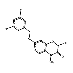 CC1Oc2cc(OCc3cc(Cl)cc(Cl)c3)ccc2N(C)C1=O